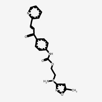 Cc1cc(N(N)CCOC(=O)Nc2ccc(C(=O)/C=C/c3ccccn3)cc2)no1